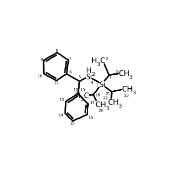 CC(C)[Si]([SiH2]C(c1ccccc1)c1ccccc1)(C(C)C)C(C)C